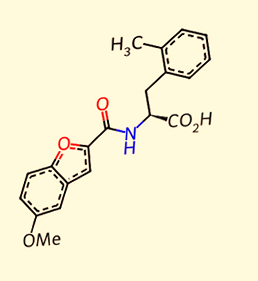 COc1ccc2oc(C(=O)N[C@@H](Cc3ccccc3C)C(=O)O)cc2c1